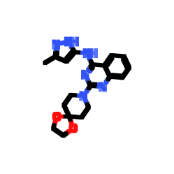 Cc1cc(Nc2nc(N3CCC4(CC3)OCCO4)nc3ccccc23)[nH]n1